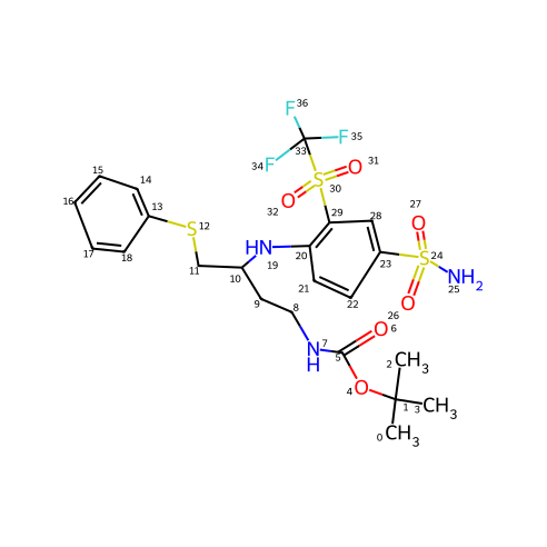 CC(C)(C)OC(=O)NCCC(CSc1ccccc1)Nc1ccc(S(N)(=O)=O)cc1S(=O)(=O)C(F)(F)F